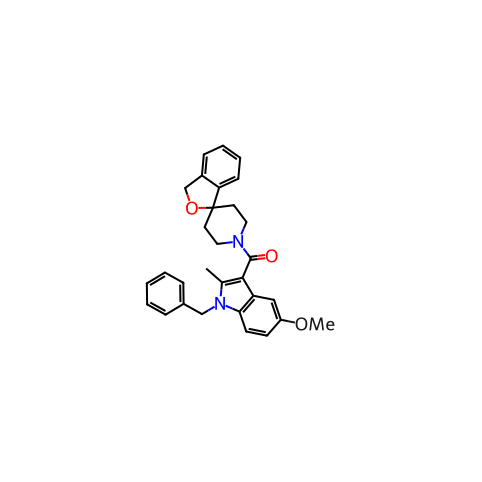 COc1ccc2c(c1)c(C(=O)N1CCC3(CC1)OCc1ccccc13)c(C)n2Cc1ccccc1